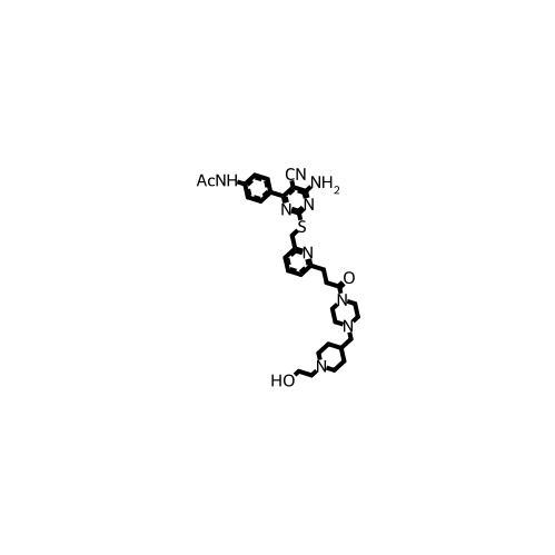 CC(=O)Nc1ccc(-c2nc(SCc3cccc(CCC(=O)N4CCN(CC5CCN(CCO)CC5)CC4)n3)nc(N)c2C#N)cc1